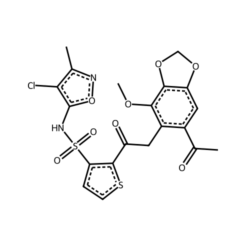 COc1c(CC(=O)c2sccc2S(=O)(=O)Nc2onc(C)c2Cl)c(C(C)=O)cc2c1OCO2